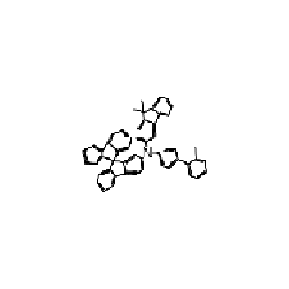 Cc1ccccc1-c1ccc(N(c2ccc3c(c2)-c2ccccc2C3(C)C)c2ccc3c(c2)C2(c4ccccc4-c4ccccc42)c2ccccc2-3)cc1